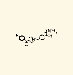 CCC(C(N)=O)C1CCC(CCN2CCC(C(=O)c3ccc(F)cc3)CC2)CC1